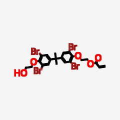 C=CC(=O)OCCOc1c(Br)cc(C(C)(C)c2cc(Br)c(OCCO)c(Br)c2)cc1Br